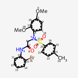 COc1ccc(N(CC(=O)Nc2ccccc2Br)S(=O)(=O)c2ccc(C)cc2)c(OC)c1